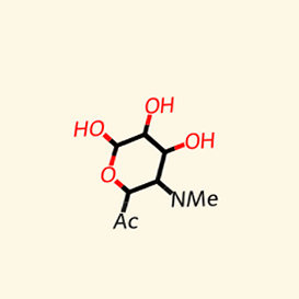 CNC1C(C(C)=O)OC(O)C(O)C1O